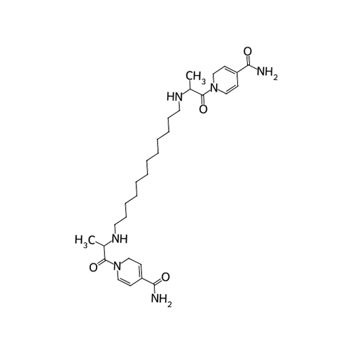 CC(NCCCCCCCCCCCCNC(C)C(=O)N1C=CC(C(N)=O)=CC1)C(=O)N1C=CC(C(N)=O)=CC1